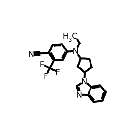 CCN(c1ccc(C#N)c(C(F)(F)F)c1)C1CCC(n2cnc3ccccc32)C1